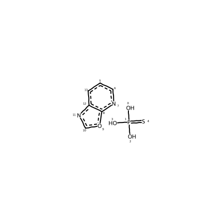 OP(O)(O)=S.c1cnc2ocnc2c1